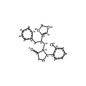 O=C1CSC(c2ccccc2Cl)N1CC(Cc1ccccc1)C1=COCO1